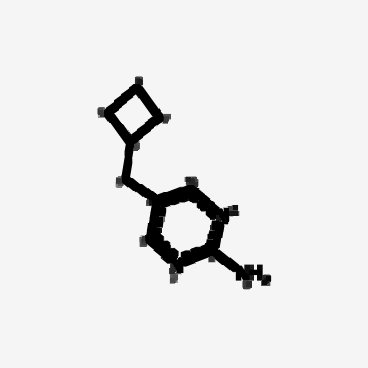 Nc1ncc(CC2CCC2)cn1